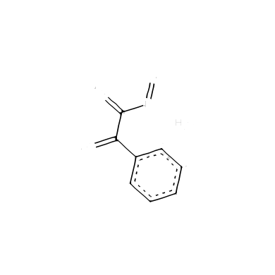 O.O=PC(=O)C(=O)c1ccccc1